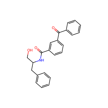 O=C(NC(CO)Cc1ccccc1)c1cccc(C(=O)c2ccccc2)c1